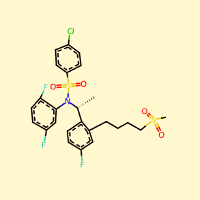 C[C@H](c1ccc(F)cc1CCCCS(C)(=O)=O)N(c1cc(F)ccc1F)S(=O)(=O)c1ccc(Cl)cc1